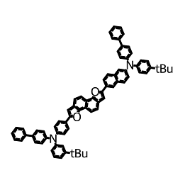 CC(C)(C)c1ccc(N(c2ccc(-c3ccccc3)cc2)c2ccc3cc(-c4cc5ccc6c(ccc7cc(-c8ccc(N(c9ccc(-c%10ccccc%10)cc9)c9cccc(C(C)(C)C)c9)cc8)oc76)c5o4)ccc3c2)cc1